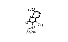 CCCCCCCCCCOc1c(O)c2cccc(O)c2oc1=O